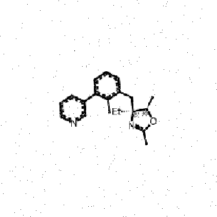 CC[C@@]1(Cc2cccc(-c3cccnc3)c2C)N=C(C)O[C@@H]1C